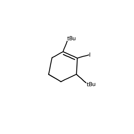 CC(C)(C)C1=C(I)C(C(C)(C)C)CCC1